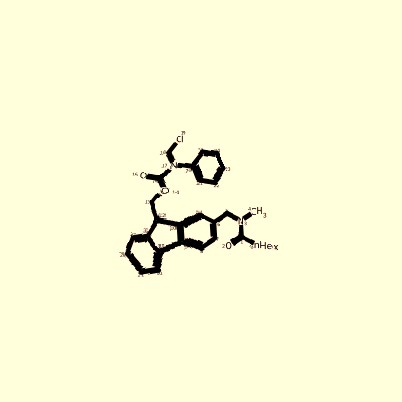 CCCCCCC(=O)N(C)Cc1ccc2c(c1)C(COC(=O)N(CCl)c1ccccc1)c1ccccc1-2